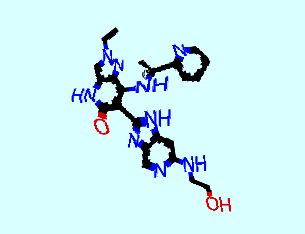 CCn1cc2[nH]c(=O)c(-c3nc4cnc(NCCO)cc4[nH]3)c(N[C@@H](C)c3ccccn3)c2n1